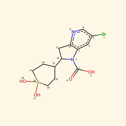 O=C(O)N1c2cc(Br)cnc2CC1C1CCS(O)(O)CC1